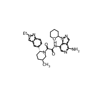 CCn1cc2cc([C@H]3CC[C@H](C)CN3C(=O)C(=O)Nc3cnc(N)c4cnn(C5CCCCO5)c34)ccc2n1